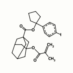 C=C(C)C(=O)OC12CC3CC(C1)CC(C(=O)OC1(c4ccc(I)cc4)CCCC1)(C3)C2